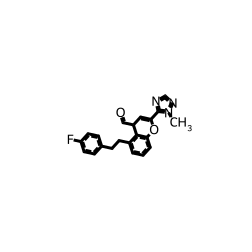 Cn1ncnc1C1=CC(C=O)c2c(CCc3ccc(F)cc3)cccc2O1